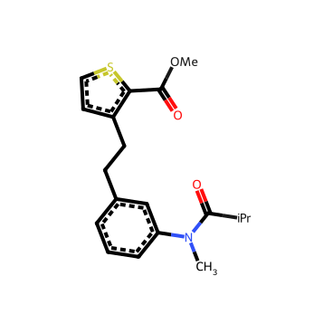 COC(=O)c1sccc1CCc1cccc(N(C)C(=O)C(C)C)c1